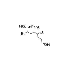 [CH2]CC(CCC(CC)CCCO)C(O)CCCCC